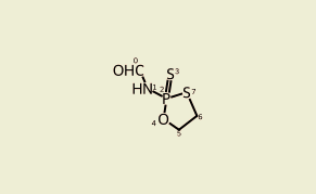 O=CNP1(=S)OCCS1